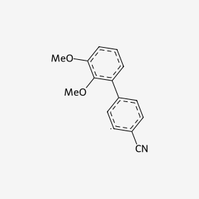 COc1cccc(-c2c[c]c(C#N)cc2)c1OC